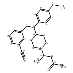 COc1ccc(N(Cc2cccc(C#N)c2)C2CCN(C(C)CC(N)=O)CC2)cc1